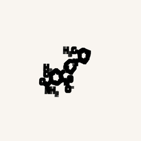 Cc1cc(N2CCN(c3ccccc3C)CC2)c([N+](=O)[O-])cc1C(N)=O